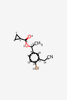 CC(OC(=O)C1CC1)c1ccc(Br)c(CC#N)c1